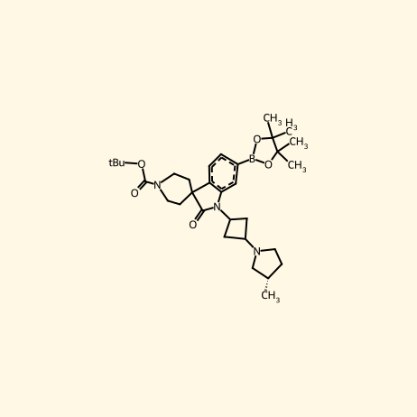 C[C@H]1CCN(C2CC(N3C(=O)C4(CCN(C(=O)OC(C)(C)C)CC4)c4ccc(B5OC(C)(C)C(C)(C)O5)cc43)C2)C1